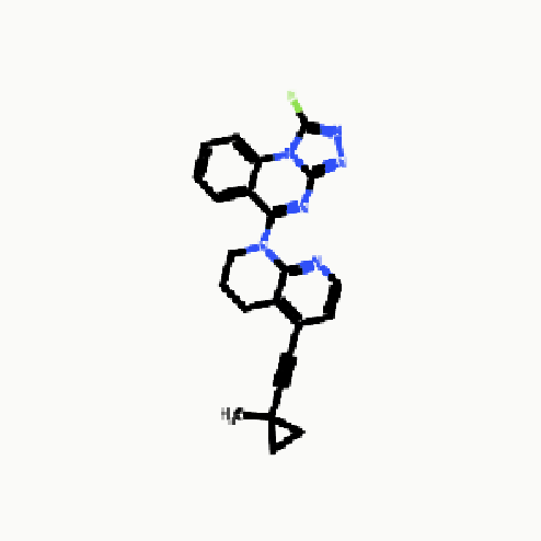 CC1(C#Cc2ccnc3c2CCCN3c2nc3nnc(F)n3c3ccccc23)CC1